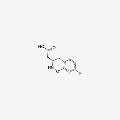 O=C(O)C[C@H]1Cc2ccc(F)cc2ON1